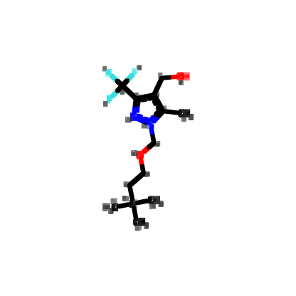 Cc1c(CO)c(C(F)(F)F)nn1COCC[Si](C)(C)C